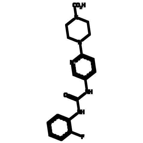 O=C(Nc1ccc(N2CCN(C(=O)O)CC2)nc1)Nc1ccccc1F